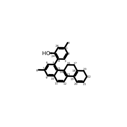 Cc1ccc(-c2cc(C)cc3ccc4c(c23)CCC2=C4C=CCC2)c(O)c1